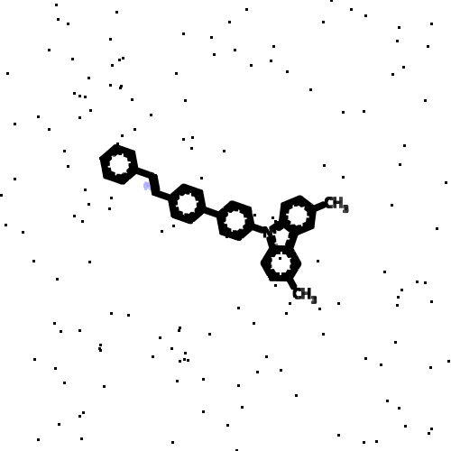 Cc1ccc2c(c1)c1cc(C)ccc1n2-c1ccc(-c2ccc(/C=C/c3ccccc3)cc2)cc1